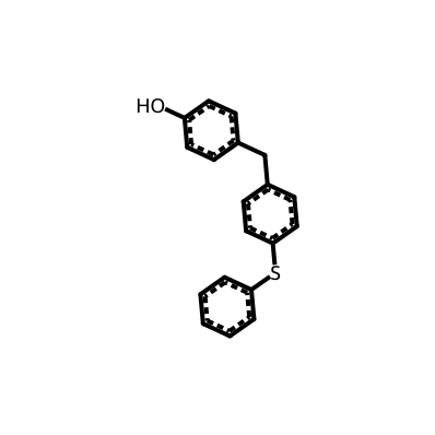 Oc1ccc(Cc2ccc(Sc3ccccc3)cc2)cc1